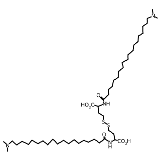 CN(C)CCCCCCCCCCCCCCCCCCC(=O)NC(CCSSCCC(NC(=O)CCCCCCCCCCCCCCCCCCN(C)C)C(=O)O)C(=O)O